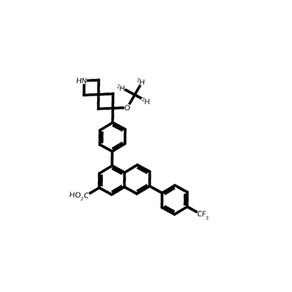 [2H]C([2H])([2H])OC1(c2ccc(-c3cc(C(=O)O)cc4cc(-c5ccc(C(F)(F)F)cc5)ccc34)cc2)CC2(CNC2)C1